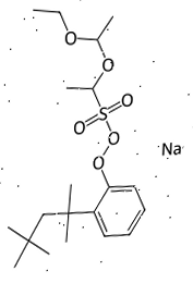 CCOC(C)OC(C)S(=O)(=O)OOc1ccccc1C(C)(C)CC(C)(C)C.[Na]